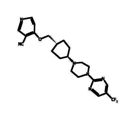 N#Cc1cnccc1OC[C@H]1CC[C@H](N2CCN(c3ncc(C(F)(F)F)cn3)CC2)CC1